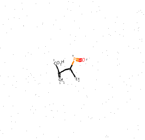 C=C(C(=O)O)C(CC)P=O